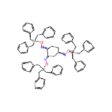 c1ccc(C[Si](Cc2ccccc2)(Cc2ccccc2)ON=C2CCC(=NO[Si](Cc3ccccc3)(Cc3ccccc3)Cc3ccccc3)C(=NO[Si](Cc3ccccc3)(Cc3ccccc3)Cc3ccccc3)C2)cc1